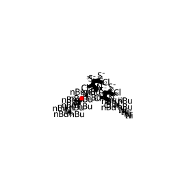 CCCC[N+](CCCC)(CCCC)CCCC.CCCC[N+](CCCC)(CCCC)CCCC.CCCC[N+](CCCC)(CCCC)CCCC.CCCC[N+](CCCC)(CCCC)CCCC.[Ni].[Ni].[Ni].[Ni].[S-]c1c(Cl)nc(Cl)c(Cl)c1[S-].[S-]c1c(Cl)nc(Cl)c(Cl)c1[S-]